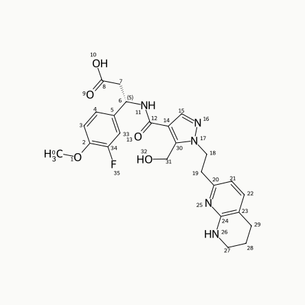 COc1ccc([C@H](CC(=O)O)NC(=O)c2cnn(CCc3ccc4c(n3)NCCC4)c2CO)cc1F